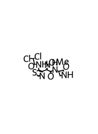 CON=C(C(=O)NC1CNC1=O)c1ncsc1NC(=O)C(Cl)Cl